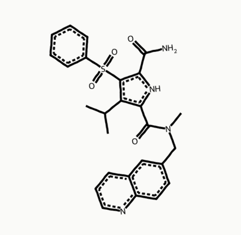 CC(C)c1c(C(=O)N(C)Cc2ccc3ncccc3c2)[nH]c(C(N)=O)c1S(=O)(=O)c1ccccc1